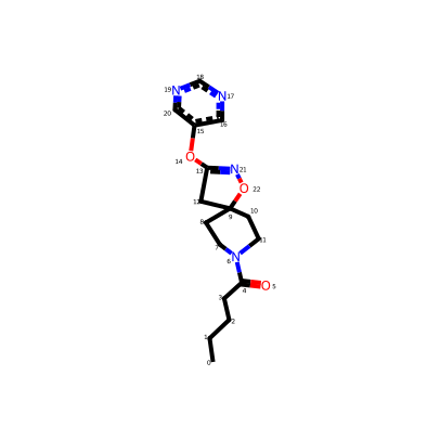 CCCCC(=O)N1CCC2(CC1)CC(Oc1cncnc1)=NO2